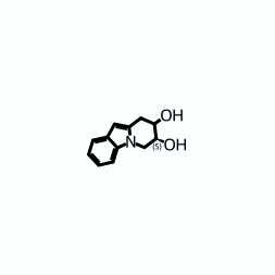 OC1Cc2cc3ccccc3n2C[C@@H]1O